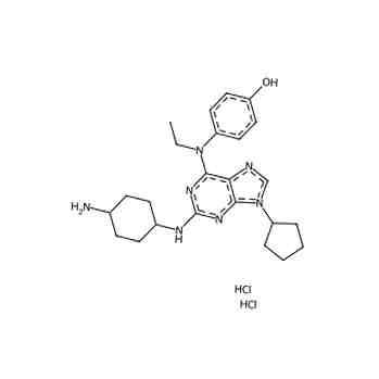 CCN(c1ccc(O)cc1)c1nc(NC2CCC(N)CC2)nc2c1ncn2C1CCCC1.Cl.Cl